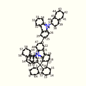 c1ccc(C2(c3ccccc3)c3ccccc3-c3ccc4c5cc(-c6ccc7c(c6)c6ccccc6n7-c6ccc7ccccc7c6)ccc5n(-c5cccc6ccccc56)c4c32)cc1